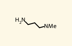 [CH2-][NH2+]CCCN